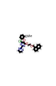 COc1ccccc1Oc1c(Cl)nc(-c2ncccn2)nc1OCCOCc1cccc2ccccc12